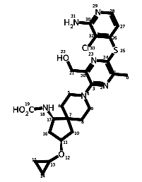 Cc1nc(N2CCC3(CC2)C[C@@H](OC2CC2)C[C@H]3NC(=O)O)c(CO)nc1Sc1ccnc(N)c1Cl